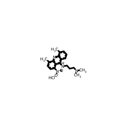 Cc1cccc2c(NCCCN(C)C)c3c([N+](=O)[O-])ccc(C)c3nc12.Cl